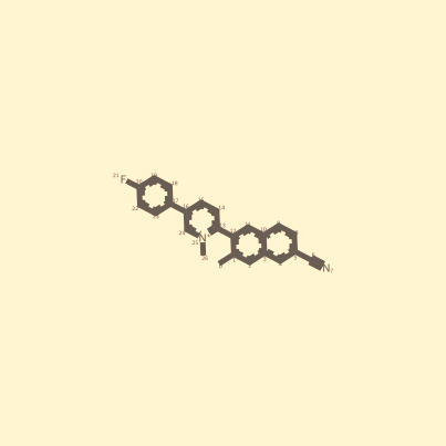 Cc1cc2cc(C#N)ccc2cc1-c1ccc(-c2ccc(F)cc2)c[n+]1C